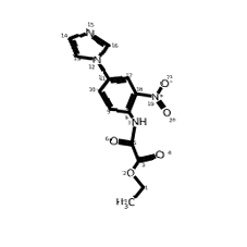 CCOC(=O)C(=O)Nc1ccc(-n2ccnc2)cc1[N+](=O)[O-]